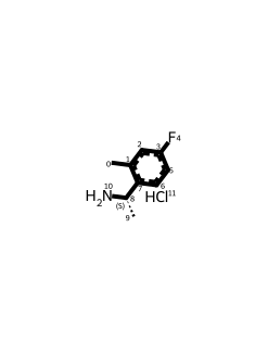 Cc1cc(F)ccc1[C@H](C)N.Cl